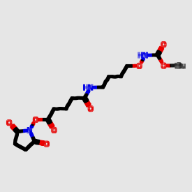 CC(C)(C)OC(=O)NOCCCCNC(=O)CCCC(=O)ON1C(=O)CCC1=O